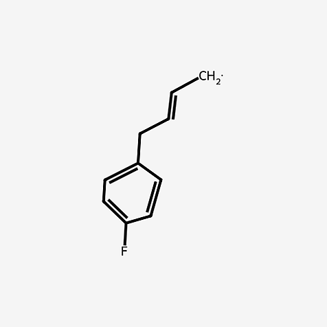 [CH2]/C=C/Cc1ccc(F)cc1